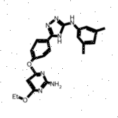 CCOc1cc(Oc2ccc(-c3nnc(Nc4cc(C)cc(C)c4)[nH]3)cc2)nc(N)n1